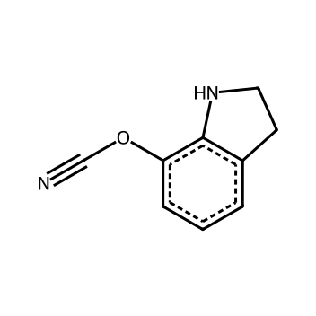 N#COc1cccc2c1NCC2